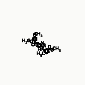 COC(=O)c1ccc(C)c(Nc2ncnc3c2CCN(C(=O)c2ccc(OC)cc2OC)C3)c1